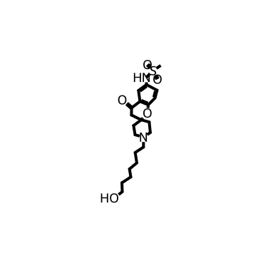 CS(=O)(=O)Nc1ccc2c(c1)C(=O)CC1(CCN(CCCCCCCO)CC1)O2